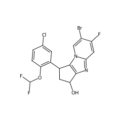 OC1CC(c2cc(Cl)ccc2OC(F)F)c2c1nc1cc(F)c(Br)cn21